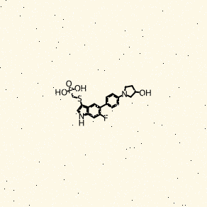 O=P(O)(O)CSc1c[nH]c2cc(F)c(-c3ccc(N4CCC(O)C4)cc3)cc12